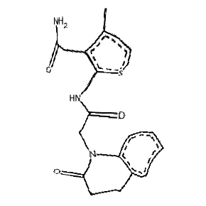 Cc1csc(NC(=O)CN2C(=O)CCc3ccccc32)c1C(N)=O